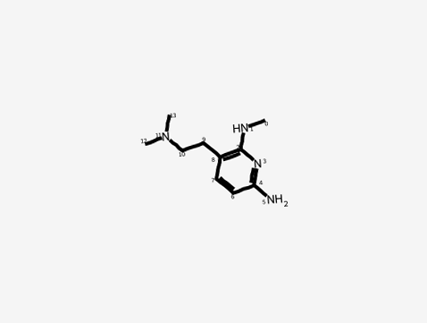 CNc1nc(N)ccc1CCN(C)C